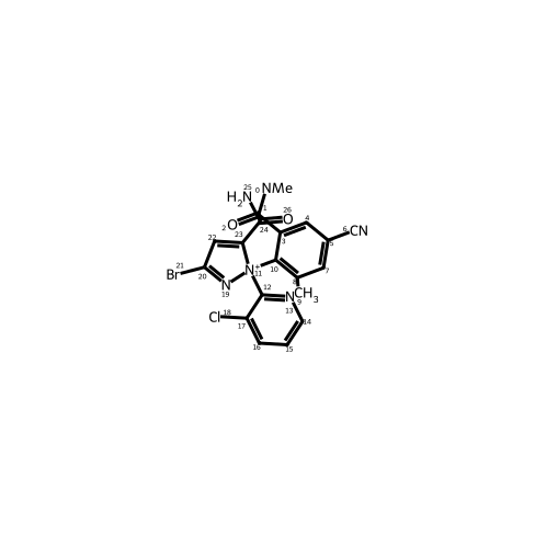 CNC(=O)c1cc(C#N)cc(C)c1[N+]1(c2ncccc2Cl)N=C(Br)C=C1C(N)=O